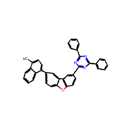 N#Cc1ccc(-c2ccc3oc4ccc(-c5nc(-c6ccccc6)nc(-c6ccccc6)n5)cc4c3c2)c2ccccc12